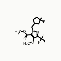 COC(=O)c1c(OC)c(C(F)(F)F)nn1CC1CCC(F)(F)C1